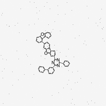 c1ccc(-c2cccc(-c3nc(-c4ccccc4)nc(-c4ccc5c(c4)oc4cc(-c6cccc7oc8ccccc8c67)ccc45)n3)c2)cc1